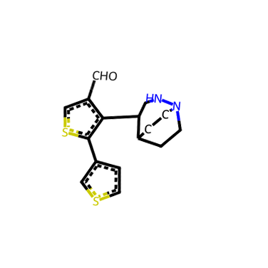 O=Cc1csc(-c2ccsc2)c1C1CNN2CCC1CC2